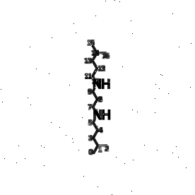 CC(C)CCCNCCCNCCCC(C)C